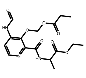 CCOC(=O)C(C)NC(=O)c1nccc(NC=O)c1OCOC(=O)CC